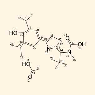 CC(=O)O.CC(C)c1cc(-c2csc(C(N(C)C(=O)O)C(C)(C)C)n2)cc(C(C)C)c1O